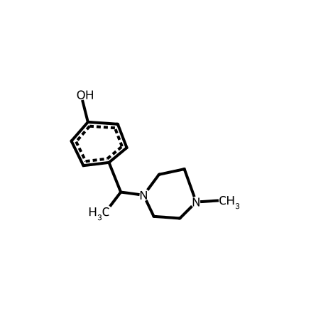 CC(c1ccc(O)cc1)N1CCN(C)CC1